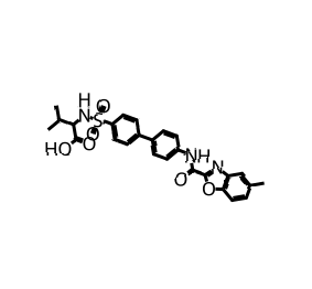 Cc1ccc2oc(C(=O)Nc3ccc(-c4ccc(S(=O)(=O)NC(C(=O)O)C(C)C)cc4)cc3)nc2c1